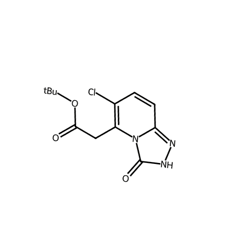 CC(C)(C)OC(=O)Cc1c(Cl)ccc2n[nH]c(=O)n12